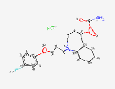 Cl.NC(=O)OC1CCN(CCCOc2ccc(F)cc2)C2CCCCC12